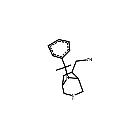 CC(C)(c1ccccc1)N1C2CNCC1C(CC#N)C2